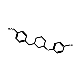 CCC(C)c1ccc(OC2CCCC(Cc3ccc(S(=O)(=O)O)cc3)C2)cc1